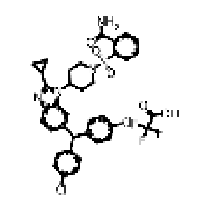 NC(=O)c1ccccc1S(=O)(=O)N1CCC(n2c(C3CC3)nc3ccc(C(c4ccc(Cl)cc4)c4ccc(Cl)cc4)cc32)CC1.O=C(O)C(F)(F)F